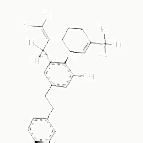 [2H]C([2H])=C([C@@H]1CCC(C([2H])([2H])[2H])=C[C@H]1c1c(O)cc(CCc2ccccc2)cc1O)C([2H])([2H])[2H]